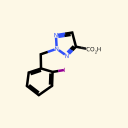 O=C(O)c1cnn(Cc2ccccc2I)n1